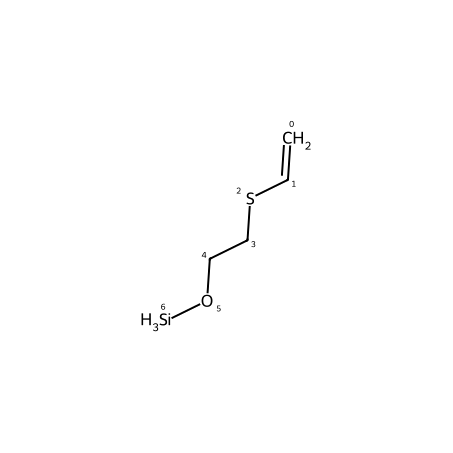 C=CSCCO[SiH3]